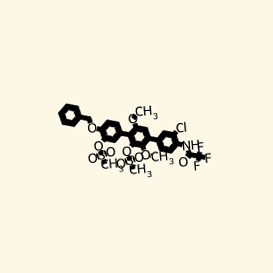 COc1cc(-c2ccc(NC(=O)C(F)(F)F)c(Cl)c2)c(OC)c(OS(C)(=O)=O)c1-c1ccc(OCc2ccccc2)c(OS(C)(=O)=O)c1